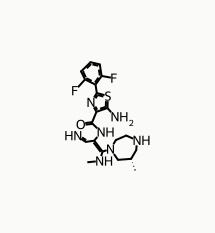 CN/C(=C(\C=N)NC(=O)c1nc(-c2c(F)cccc2F)sc1N)N1CCNC[C@H](C)C1